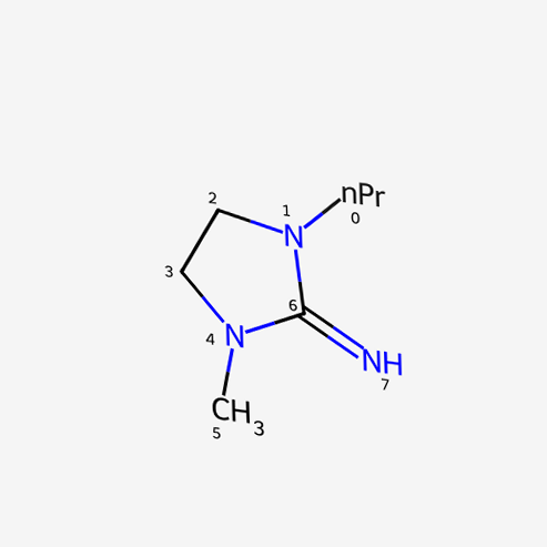 CCCN1CCN(C)C1=N